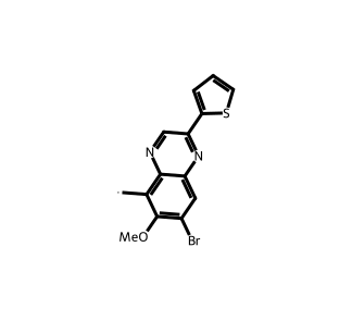 [CH2]c1c(OC)c(Br)cc2nc(-c3cccs3)cnc12